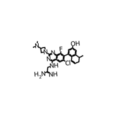 CC1CC=Cc2c(-c3c(Cl)cc4c(NCC(=N)N)nc(N5CC(N(C)C)C5)nc4c3F)cc(O)cc21